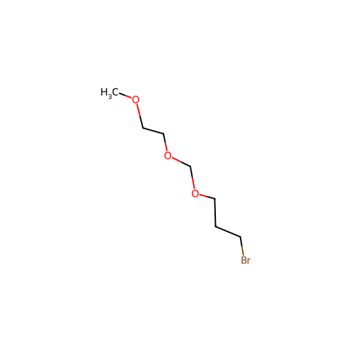 COCCOCOCCCBr